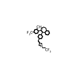 Cc1cc(C(F)(F)F)ccc1C1=C(c2ccc(C=C3CN(CCC(F)(F)F)C3)cc2)c2ccccc2CCC1